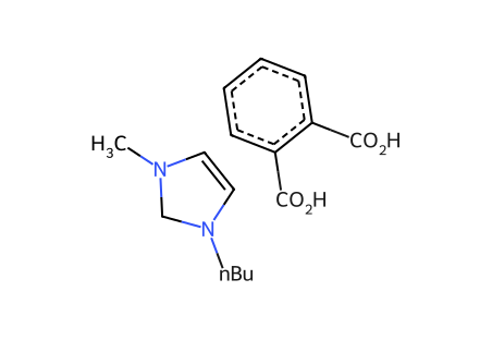 CCCCN1C=CN(C)C1.O=C(O)c1ccccc1C(=O)O